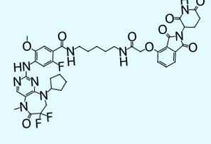 COc1cc(C(=O)NCCCCCNC(=O)COc2cccc3c2C(=O)N(C2CCC(=O)NC2=O)C3=O)c(F)cc1Nc1ncc2c(n1)N(C1CCCC1)CC(F)(F)C(=O)N2C